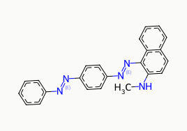 CNc1ccc2ccccc2c1/N=N/c1ccc(/N=N/c2ccccc2)cc1